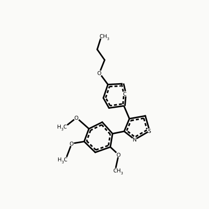 CCCOc1ccc(-c2csnc2-c2cc(OC)c(OC)cc2OC)cc1